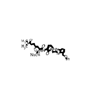 COC(=O)NC(CC/C=C/C(=O)N(C)C)C(=O)Nc1cccn(Cc2nc3c(COC(C)C)cccc3[nH]2)c1=O